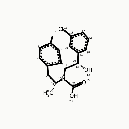 C[C@H](Cc1ccc(I)cc1)N(C[C@@H](O)c1cccc(Cl)c1)C(=O)O